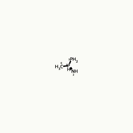 C[PH](=N)P